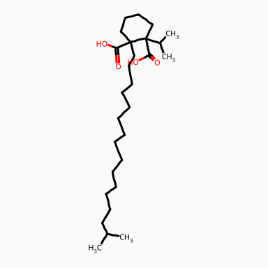 CC(C)CCCCCCCCCCCCCCC1(C(=O)O)CCCCC1(C(=O)O)C(C)C